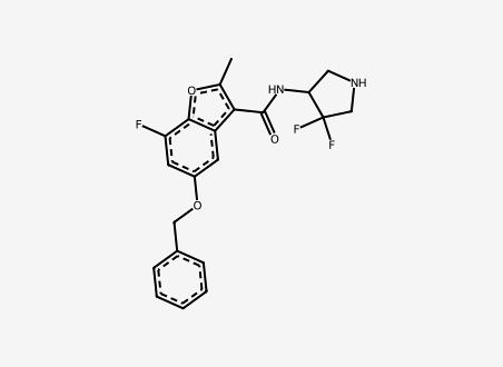 Cc1oc2c(F)cc(OCc3ccccc3)cc2c1C(=O)NC1CNCC1(F)F